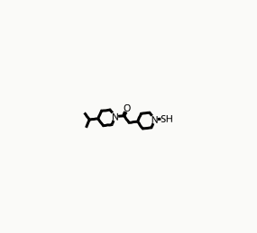 CC(C)C1CCN(C(=O)CC2CCN(S)CC2)CC1